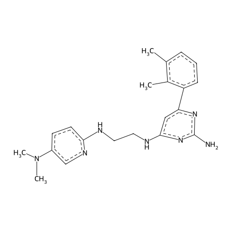 Cc1cccc(-c2cc(NCCNc3ccc(N(C)C)cn3)nc(N)n2)c1C